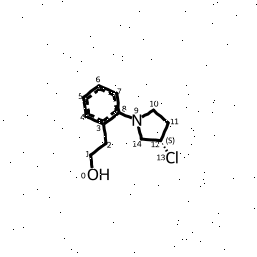 OCCc1ccccc1N1CC[C@H](Cl)C1